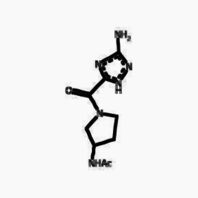 CC(=O)NC1CCN(C(=O)c2nc(N)n[nH]2)C1